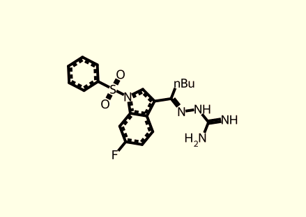 CCCCC(=NNC(=N)N)c1cn(S(=O)(=O)c2ccccc2)c2cc(F)ccc12